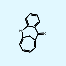 O=C1C2=CC=CC=C(C2)Nc2ccccc21